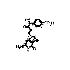 CCN(C(=O)CCN1CNc2c1nc(N)[nH]c2=O)c1ccc(C(=O)O)cc1